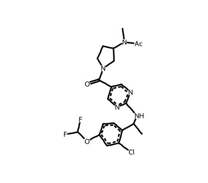 CC(=O)N(C)C1CCN(C(=O)c2cnc(NC(C)c3ccc(OC(F)F)cc3Cl)nc2)C1